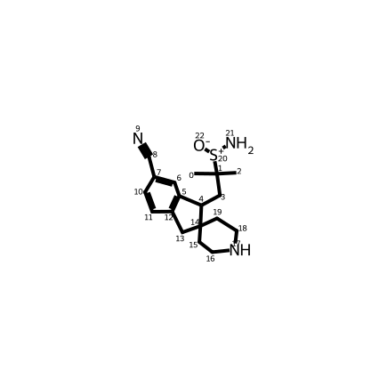 CC(C)(CC1c2cc(C#N)ccc2CC12CCNCC2)[S+](N)[O-]